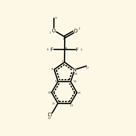 COC(=O)C(F)(F)c1cc2cc(Cl)ccc2n1C